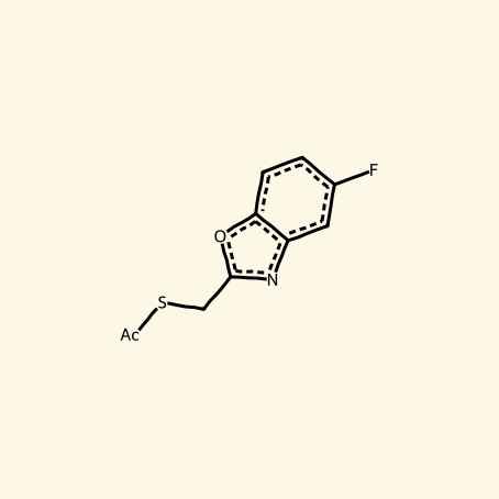 CC(=O)SCc1nc2cc(F)ccc2o1